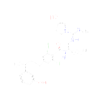 CC(CCc1cc(Cl)c(C(=O)NC(CN/C(=N\C#N)N2CC[C@H](O)C2)C(=O)O)c(Cl)c1)c1cccc(O)c1